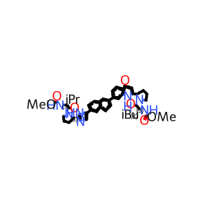 CC[C@@H](C)[C@H](NC(=O)OC)C(=O)N1CCCC1c1cc(=O)c2ccc(-c3ccc4cc(-c5cnc([C@@H]6CCCN6C(=O)[C@@H](NC(=O)OC)C(C)C)[nH]5)ccc4c3)cc2[nH]1